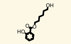 O=C(OCCCCCCO)c1ccccc1O